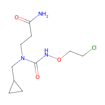 NC(=O)CCN(CC1CC1)C(=O)NOCCCl